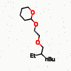 CCCCC(CC)COCCOC1CCCCO1